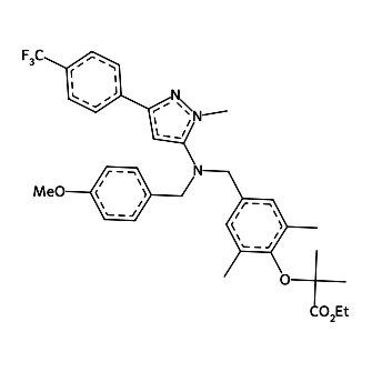 CCOC(=O)C(C)(C)Oc1c(C)cc(CN(Cc2ccc(OC)cc2)c2cc(-c3ccc(C(F)(F)F)cc3)nn2C)cc1C